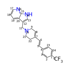 FC(F)(F)c1ccc(C=CC2=CCN(Cc3c[nH]c4ncccc34)CC2)cc1